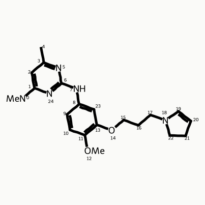 CNc1cc(C)nc(Nc2ccc(OC)c(OCCCN3C=CCC3)c2)n1